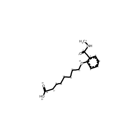 CNC(=O)c1ccccc1OCCCCCCCC(=O)O